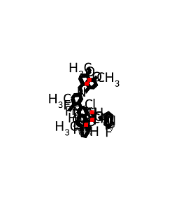 COc1ccc(CN(Cc2ccc(OC)cc2)c2cc(C)c(C(F)(F)F)c(-c3nc4c5c(nc(OC[C@@]67CCCN6C[C@H](F)C7)nc5c3Cl)N3C[C@H]5CC[C@@H]([C@H]3[C@H](C)O4)N5C(=O)OC(C)(C)C)c2)cc1